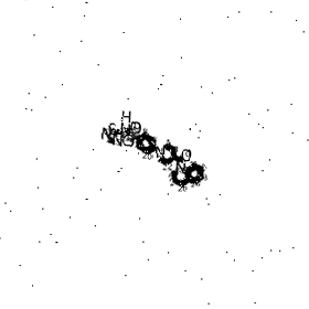 O=C(C1CCN(c2ccc(S(=O)(=O)Nc3ncns3)cc2)CC1)N1CCCc2ccccc21